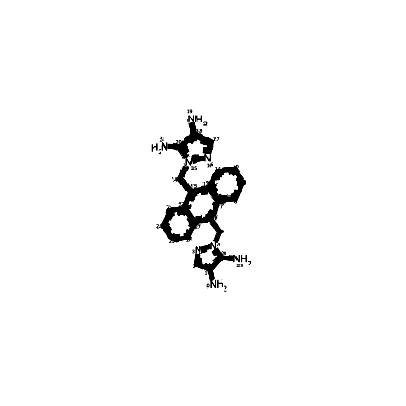 Nc1cnn(Cc2c3ccccc3c(Cn3ncc(N)c3N)c3ccccc23)c1N